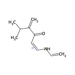 C=CN/C=C\C(=O)C(=C)C(C)C